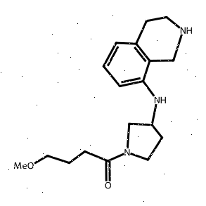 COCCCC(=O)N1CCC(Nc2cccc3c2CNCC3)C1